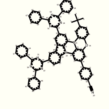 CC(C)(C)c1ccc2c(c1)B1c3c(cc(-c4ccc(C#N)cc4)cc3-n3c4ccc(-c5nc(-c6ccccc6)nc(-c6ccccc6)n5)cc4c4cc(-c5nc(-c6ccccc6)nc(-c6ccccc6)n5)cc1c43)O2